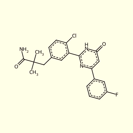 CC(C)(Cc1ccc(Cl)c(-c2nc(-c3cccc(F)c3)cc(=O)[nH]2)c1)C(N)=O